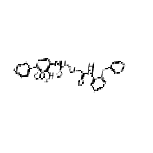 O=C(COCC(=O)Nc1ccc(-c2ccncc2)cc1C(=O)O)Nc1ccccc1Cc1ccccc1